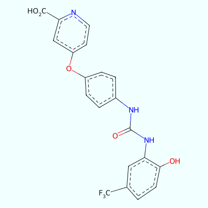 O=C(Nc1ccc(Oc2ccnc(C(=O)O)c2)cc1)Nc1cc(C(F)(F)F)ccc1O